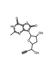 C#CC(O)C1CC(O)C(n2c(=O)sc3c(=O)[nH]c(C)nc32)O1